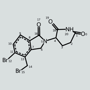 O=C1CCC(N2Cc3c(ccc(Br)c3CBr)C2=O)C(=O)N1